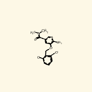 CN(C)C(=O)c1cnc(N)c(OCc2c(Cl)cccc2Cl)c1